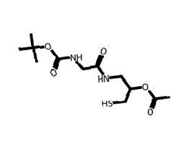 CC(=O)OC(CS)CNC(=O)CNC(=O)OC(C)(C)C